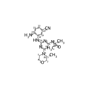 C[C@@H]1COCCN1c1cc(N=S(C)(C)=O)nc(Nc2cc(C#N)ccc2N)n1